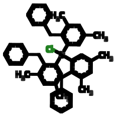 Cc1cc(C)c(Cc2ccccc2)c([Si](Cl)(c2cc(C)cc(C)c2Cc2ccccc2)c2cc(C)cc(C)c2Cc2ccccc2)c1